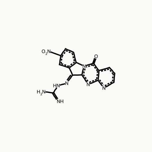 N=C(N)N/N=C1\c2cc([N+](=O)[O-])ccc2-n2c1nc1ncccc1c2=O